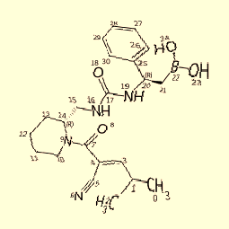 CC(C)C=C(C#N)C(=O)N1CCCC[C@@H]1CNC(=O)N[C@H](CB(O)O)c1ccccc1